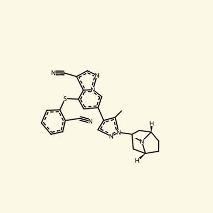 Cc1c(-c2cc(Sc3ccccc3C#N)c3c(C#N)cnn3c2)cnn1C1C[C@H]2CC[C@@H](C1)N2C